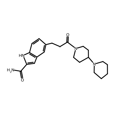 NC(=O)c1cc2cc(C[CH]C(=O)N3CCC(N4CCCCC4)CC3)ccc2[nH]1